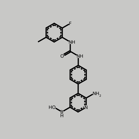 Cc1ccc(F)c(NC(=O)Nc2ccc(-c3cc(BO)cnc3N)cc2)c1